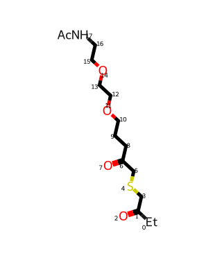 CCC(=O)CSCC(=O)CCCOCCOCCNC(C)=O